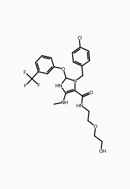 CNC1=C(C(=O)NCCOCCO)N(Cc2ccc(Cl)cc2)C(Oc2cccc(C(F)(F)F)c2)N1